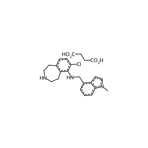 Cn1ccc2c(CNc3c(Cl)ccc4c3CCNCC4)cccc21.O=C(O)CCC(=O)O